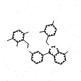 Cc1ccc(F)c(COc2cccc(-c3c4cccc(C(F)(F)F)c4nn3Cc3ccc(Cl)cc3F)c2)c1Cl